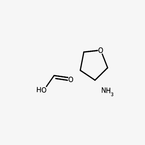 C1CCOC1.N.O=CO